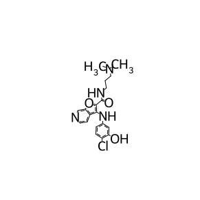 CN(C)CCCNC(=O)c1oc2cnccc2c1Nc1ccc(Cl)c(O)c1